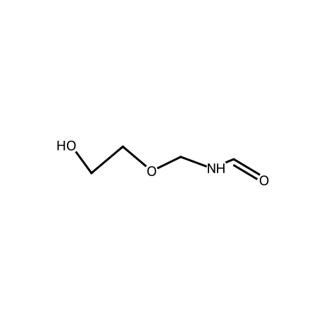 O=CNCOCCO